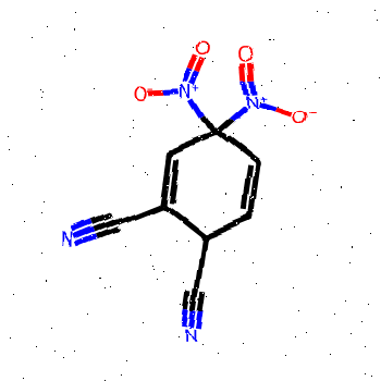 N#CC1=CC([N+](=O)[O-])([N+](=O)[O-])C=CC1C#N